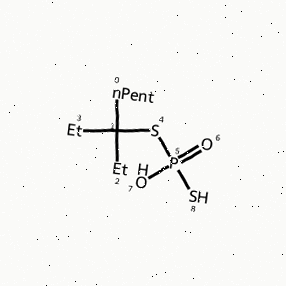 CCCCCC(CC)(CC)SP(=O)(O)S